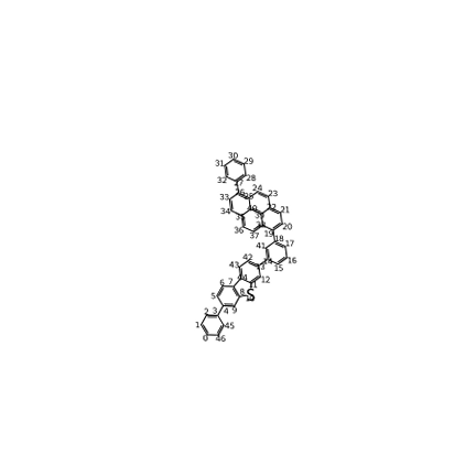 c1ccc(-c2ccc3c(c2)sc2cc(-c4cccc(-c5ccc6ccc7c(-c8ccccc8)ccc8ccc5c6c87)c4)ccc23)cc1